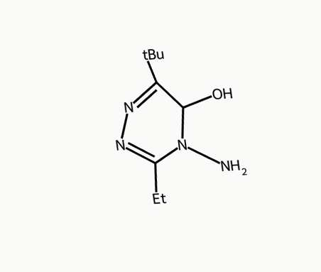 CCC1=NN=C(C(C)(C)C)C(O)N1N